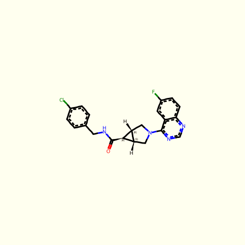 O=C(NCc1ccc(Cl)cc1)[C@H]1[C@@H]2CN(c3ncnc4ccc(F)cc34)C[C@@H]21